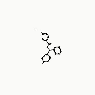 COc1ccc(C(=O)CC(c2ccc(Br)cc2)c2ccccc2C)cn1